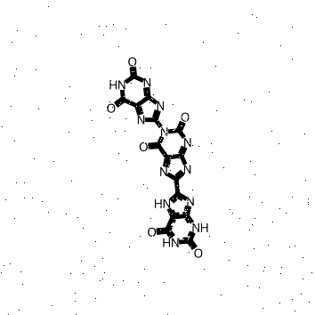 O=C1N=C2N=C(N3C(=O)N=C4N=C(c5nc6[nH]c(=O)[nH]c(=O)c6[nH]5)N=C4C3=O)N=C2C(=O)N1